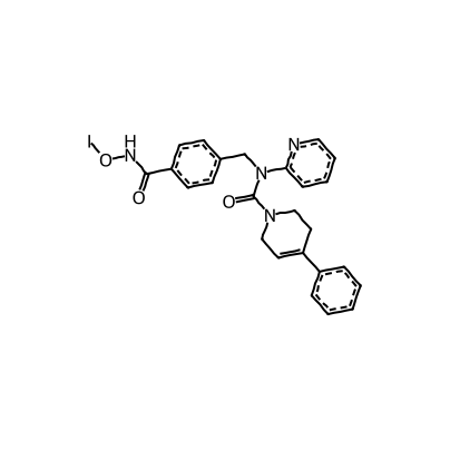 O=C(NOI)c1ccc(CN(C(=O)N2CC=C(c3ccccc3)CC2)c2ccccn2)cc1